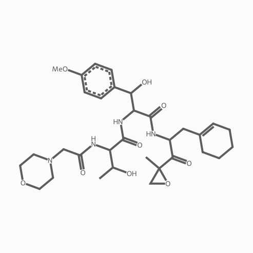 COc1ccc(C(O)C(NC(=O)C(NC(=O)CN2CCOCC2)C(C)O)C(=O)NC(CC2=CCCCC2)C(=O)C2(C)CO2)cc1